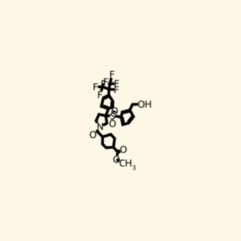 COC(=O)C1CCC(C(=O)N2CCC(c3ccc(C(F)(C(F)(F)F)C(F)(F)F)cc3)(S(=O)(=O)c3cccc(CO)c3)C2)CC1